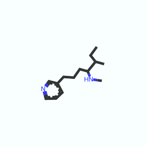 CCC(C)C(CCCc1cccnc1)NC